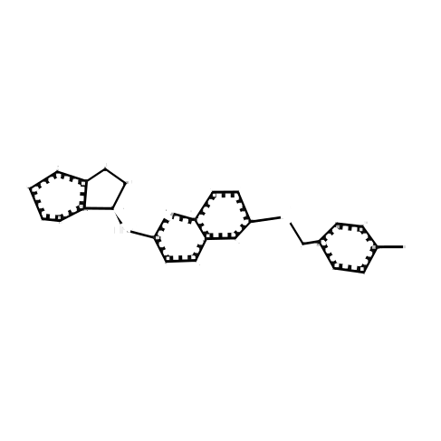 Fc1ccc(COc2ccc3nc(N[C@@H]4CCc5ccccc54)ccc3c2)cc1